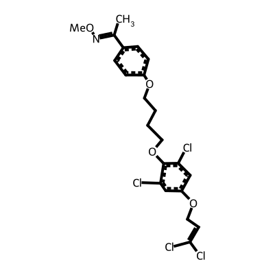 CON=C(C)c1ccc(OCCCCOc2c(Cl)cc(OCC=C(Cl)Cl)cc2Cl)cc1